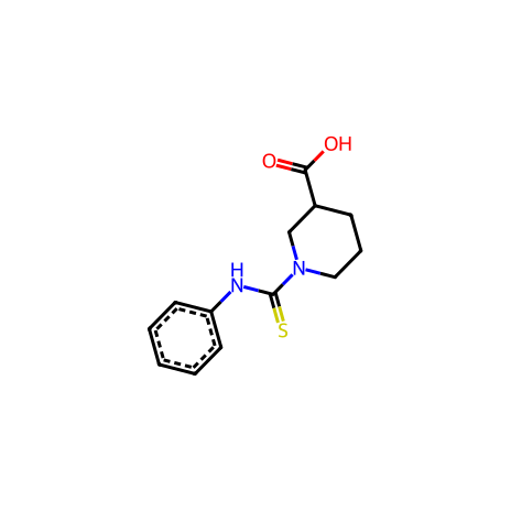 O=C(O)C1CCCN(C(=S)Nc2ccccc2)C1